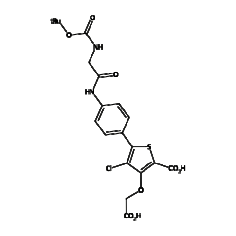 CC(C)(C)OC(=O)NCC(=O)Nc1ccc(-c2sc(C(=O)O)c(OCC(=O)O)c2Cl)cc1